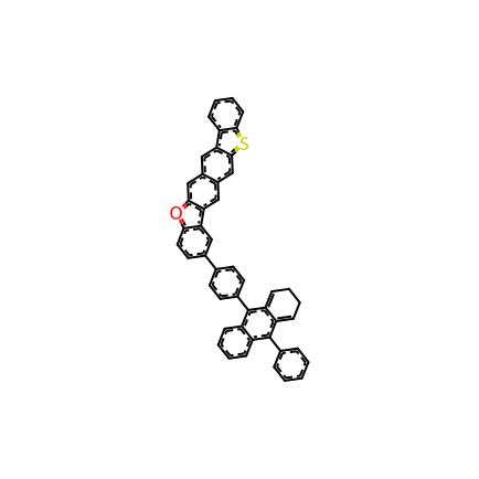 C1=c2c(-c3ccccc3)c3ccccc3c(-c3ccc(-c4ccc5oc6cc7cc8c(cc7cc6c5c4)sc4ccccc48)cc3)c2=CCC1